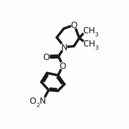 CC1(C)CN(C(=O)Oc2ccc([N+](=O)[O-])cc2)CCO1